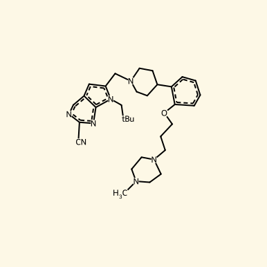 CN1CCN(CCCOc2ccccc2C2CCN(Cc3cc4cnc(C#N)nc4n3CC(C)(C)C)CC2)CC1